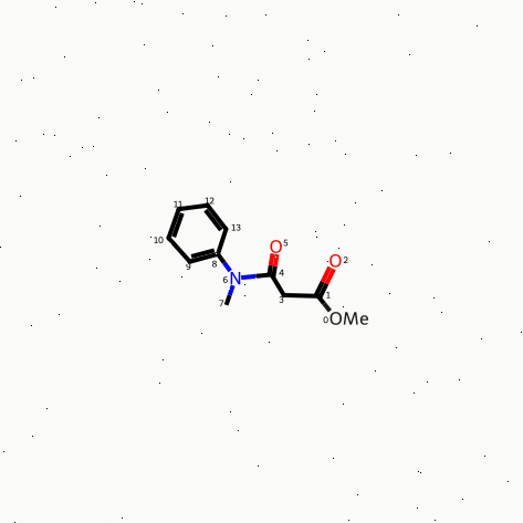 COC(=O)CC(=O)N(C)c1ccccc1